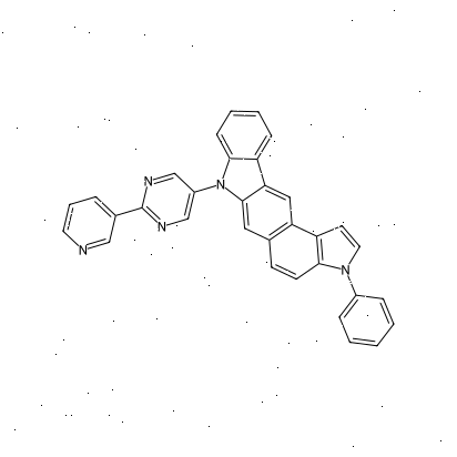 c1ccc(-n2ccc3c4cc5c6ccccc6n(-c6cnc(-c7cccnc7)nc6)c5cc4ccc32)cc1